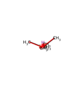 CCCCCCCCCCCCCCCCSC[C@@H](OC)C(C)O[PH](=O)OC(C)[C@@H](CSCCCCCCCCCCCCCCCC)OC